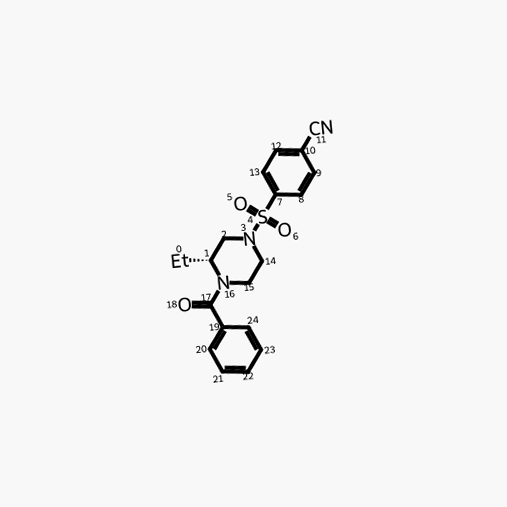 CC[C@@H]1CN(S(=O)(=O)c2ccc(C#N)cc2)CCN1C(=O)c1ccccc1